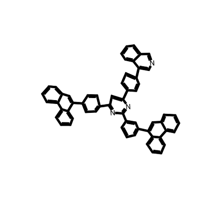 c1cc(-c2nc(-c3ccc(-c4cncc5ccccc45)cc3)cc(-c3ccc(-c4cc5ccccc5c5ccccc45)cc3)n2)cc(-c2cc3ccccc3c3ccccc23)c1